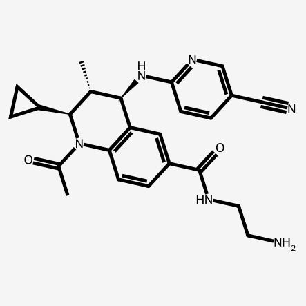 CC(=O)N1c2ccc(C(=O)NCCN)cc2[C@H](Nc2ccc(C#N)cn2)[C@@H](C)[C@@H]1C1CC1